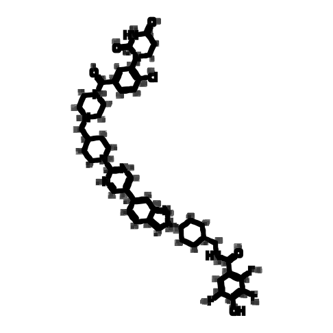 O=C1CCN(c2cc(C(=O)N3CCN(CC4CCN(c5ncc(-c6ccc7cn([C@H]8CC[C@H](CNC(=O)c9cc(F)c(O)c(F)c9F)CC8)nc7c6)cn5)CC4)CC3)ccc2Cl)C(=O)N1